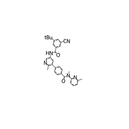 Cc1cccc(N(C)C(=O)c2ccc(-c3cc(NC(=O)c4cc(C#N)cc(C(C)(C)C)c4)cnc3C)cc2)n1